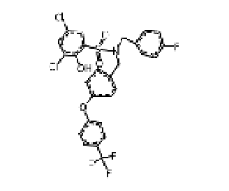 O=S(=O)(c1cc(Cl)cc(Cl)c1O)N(Cc1ccc(F)cc1)Cc1ccc(Oc2ccc(C(F)(F)F)cc2)cc1